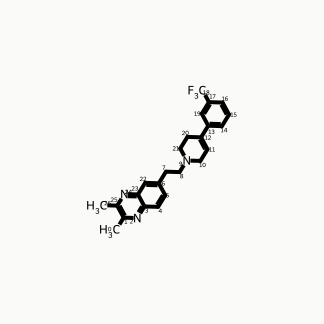 Cc1nc2ccc(CCN3CC=C(c4cccc(C(F)(F)F)c4)CC3)cc2nc1C